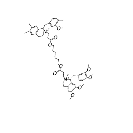 COc1cc(C[C@@H]2c3cc(C)c(C)cc3CC[N@+]2(C)CCC(=O)OCCCCCCOC(=O)CC[N@@+]2(C)CCc3cc(OC)c(OC)cc3[C@H]2Cc2ccc(OC)c(OC)c2)ccc1C